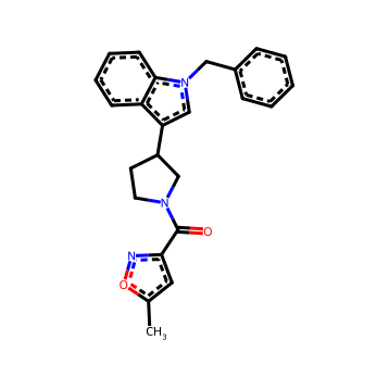 Cc1cc(C(=O)N2CCC(c3cn(Cc4ccccc4)c4ccccc34)C2)no1